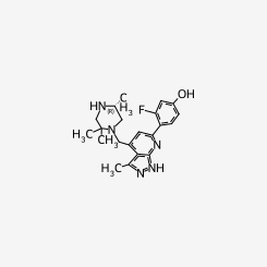 Cc1n[nH]c2nc(-c3ccc(O)cc3F)cc(CN3C[C@@H](C)NCC3(C)C)c12